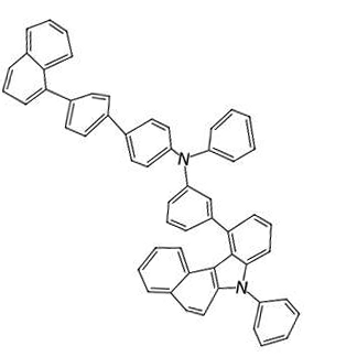 c1ccc(N(c2ccc(-c3ccc(-c4cccc5ccccc45)cc3)cc2)c2cccc(-c3cccc4c3c3c5ccccc5ccc3n4-c3ccccc3)c2)cc1